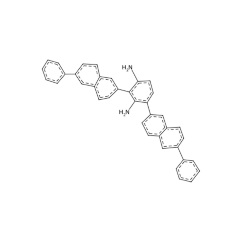 Nc1ccc(-c2ccc3cc(-c4ccccc4)ccc3c2)c(N)c1-c1ccc2cc(-c3ccccc3)ccc2c1